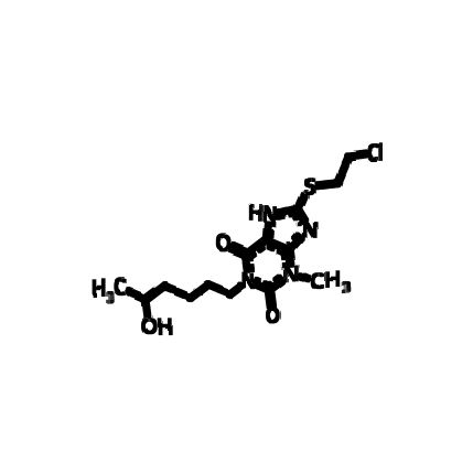 CC(O)CCCCn1c(=O)c2[nH]c(SCCCl)nc2n(C)c1=O